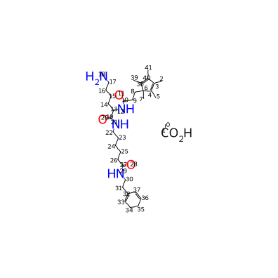 CC(=O)O.CC1=C(C)C(C)(CCC(=O)NC(CCCCN)C(=O)NCCCCCC(=O)NCCC2=CCCC=C2)C(C)=C1C